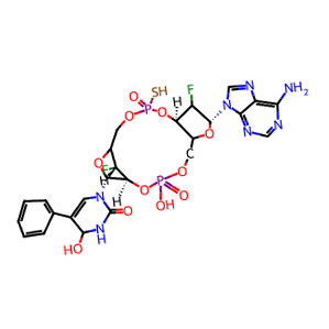 Nc1ncnc2c1ncn2[C@@H]1OC2COP(=O)(O)O[C@@H]3[C@H](F)C(COP(=O)(S)O[C@H]2C1F)O[C@H]3N1C=C(c2ccccc2)C(O)NC1=O